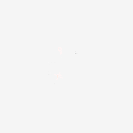 CC(=O)CC(=O)C(=O)[O-].CC[P+](CC)(CC)Cc1ccccc1